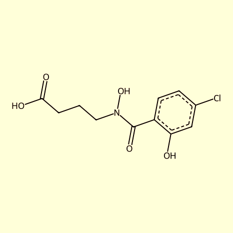 O=C(O)CCCN(O)C(=O)c1ccc(Cl)cc1O